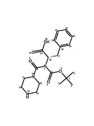 CC(C)(C)OC(=O)N(C(=O)N1CCNCC1)[C@@H](Cc1ccccc1)C(=O)O